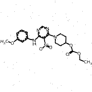 CCOC(=O)OC1CCN(c2ncnc(Nc3cccc(OC)c3)c2[N+](=O)[O-])CC1